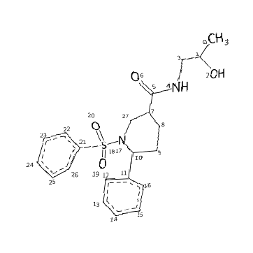 CC(O)CNC(=O)C1CCC(c2ccccc2)N(S(=O)(=O)c2ccccc2)C1